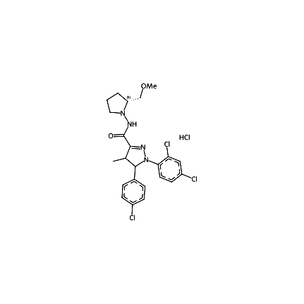 COC[C@H]1CCCN1NC(=O)C1=NN(c2ccc(Cl)cc2Cl)C(c2ccc(Cl)cc2)C1C.Cl